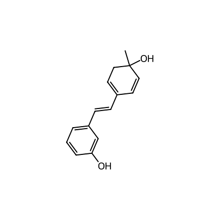 CC1(O)C=CC(/C=C/c2cccc(O)c2)=CC1